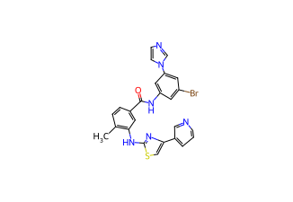 Cc1ccc(C(=O)Nc2cc(Br)cc(-n3ccnc3)c2)cc1Nc1nc(-c2cccnc2)cs1